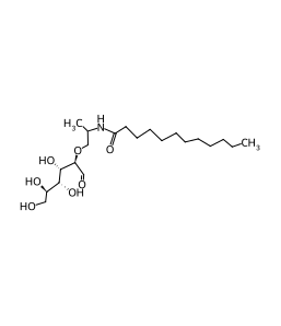 CCCCCCCCCCCC(=O)NC(C)CO[C@@H](C=O)[C@@H](O)[C@H](O)[C@H](O)CO